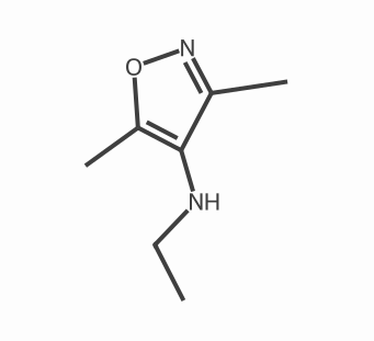 CCNc1c(C)noc1C